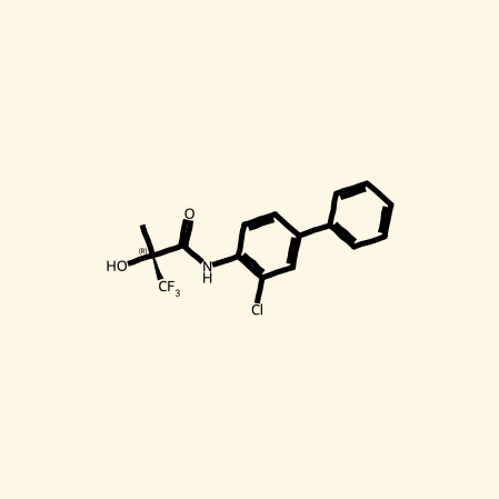 C[C@@](O)(C(=O)Nc1ccc(-c2ccccc2)cc1Cl)C(F)(F)F